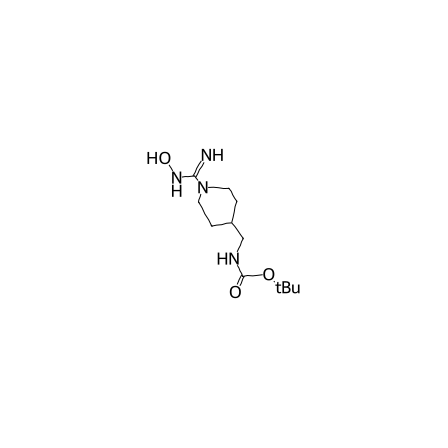 CC(C)(C)OC(=O)NCC1CCN(C(=N)NO)CC1